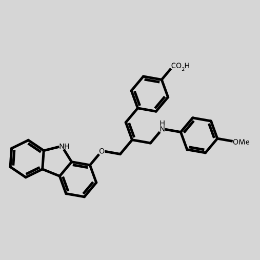 COc1ccc(NCC(=Cc2ccc(C(=O)O)cc2)COc2cccc3c2[nH]c2ccccc23)cc1